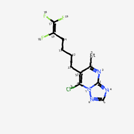 CCc1nc2ncnn2c(Cl)c1CCCCC(F)=C(F)F